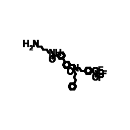 NCCCCCNC(=O)c1cccc(-c2cccc(CN(CCc3ccc(OC(=O)C(F)(F)F)cc3)C(=O)CCCc3ccccc3)c2)c1